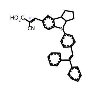 N#C/C(=C\c1ccc2c(c1)C1CCCC1N2c1ccc(C=C(c2ccccc2)c2ccccc2)cc1)C(=O)O